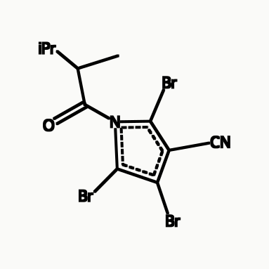 CC(C)C(C)C(=O)n1c(Br)c(Br)c(C#N)c1Br